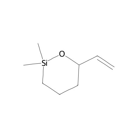 C=CC1CCC[Si](C)(C)O1